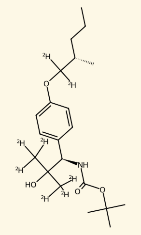 [2H]C([2H])(Oc1ccc([C@@H](NC(=O)OC(C)(C)C)C(O)(C([2H])([2H])[2H])C([2H])([2H])[2H])cc1)[C@@H](C)CCC